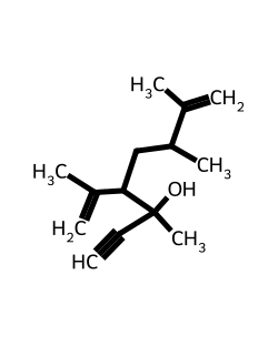 C#CC(C)(O)C(CC(C)C(=C)C)C(=C)C